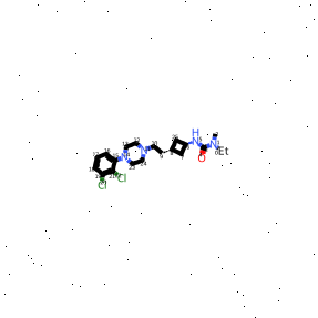 CCN(C)C(=O)N[C@H]1C[C@H](CCN2CCN(c3cccc(Cl)c3Cl)CC2)C1